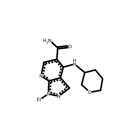 CCn1ncc2c(NC3CCCOC3)c(C(N)=O)cnc21